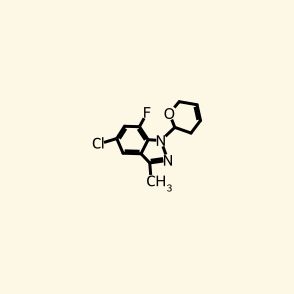 Cc1nn(C2CC=CCO2)c2c(F)cc(Cl)cc12